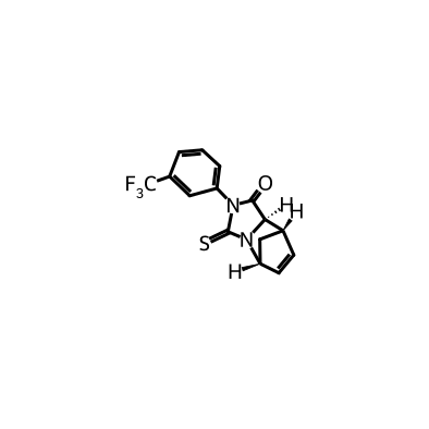 O=C1[C@H]2[C@@H]3C=C[C@@H](C3)N2C(=S)N1c1cccc(C(F)(F)F)c1